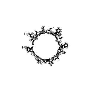 C=CC[C@@H]1NC(=O)[C@H](Cc2c[nH]c3ccccc23)NC(=O)[C@@H]2C[C@@H](O)CN2C(=O)[C@H](CC(C)C)NC(=O)[C@H](Cc2cnc[nH]2)NC(=O)[C@@H]2CCCN2C(=O)[C@H](CC(N)=O)NC(=O)[C@H](C)N(C)C(=O)[C@H](Cc2ccc(O)cc2)NC(=O)CSC[C@@H](C(=O)NCC(N)=O)NC(=O)[C@H](CC=C)NC(=O)[C@H](CCCC)N(C)C(=O)[C@H](CCCC)N(C)C(=O)[C@H](Cc2c[nH]c3ccccc23)NC1=O